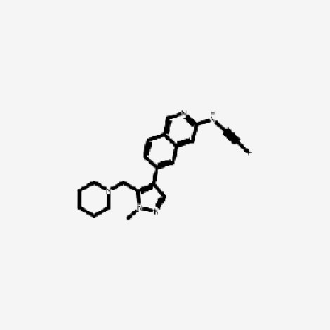 CC#CNc1cc2cc(-c3cnn(C)c3CN3CCCCC3)ccc2cn1